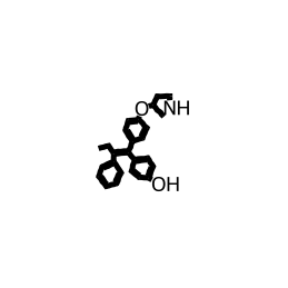 CCC(=C(c1ccc(O)cc1)c1ccc(OC2CCNC2)cc1)c1ccccc1